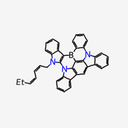 CC/C=C\C=C/Cn1c2c(c3ccccc31)B1c3ccccc3-n3c4ccccc4c4cc5c6ccccc6n-2c5c1c43